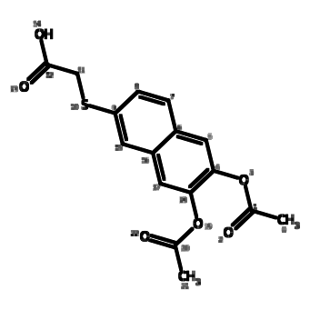 CC(=O)Oc1cc2ccc(SCC(=O)O)cc2cc1OC(C)=O